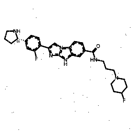 O=C(NCCCN1CCC(F)CC1)c1ccc2c(c1)[nH]c1nc(-c3ccc([C@@H]4CCCN4)cc3F)cn12